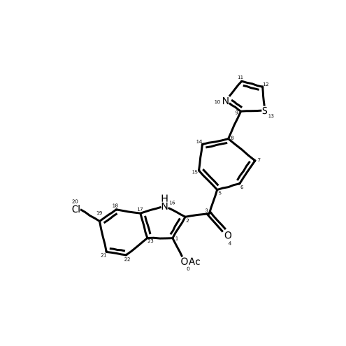 CC(=O)Oc1c(C(=O)c2ccc(-c3nccs3)cc2)[nH]c2cc(Cl)ccc12